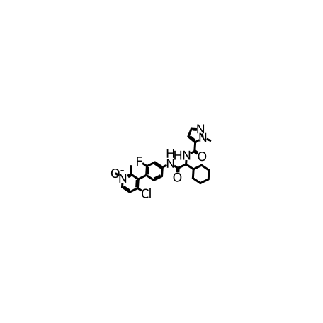 Cc1c(-c2ccc(NC(=O)C(NC(=O)c3ccnn3C)C3CCCCC3)cc2F)c(Cl)cc[n+]1[O-]